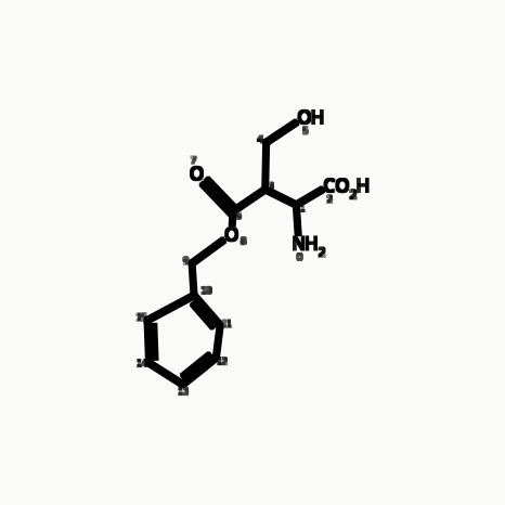 NC(C(=O)O)C(CO)C(=O)OCc1ccccc1